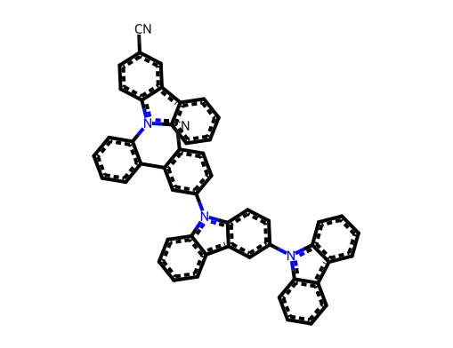 N#Cc1ccc2c(c1)c1ccccc1n2-c1ccccc1-c1cc(-n2c3ccccc3c3cc(-n4c5ccccc5c5ccccc54)ccc32)ccc1C#N